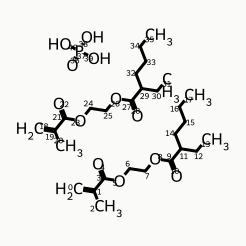 C=C(C)C(=O)OCCOC(=O)C(CC)CCCC.C=C(C)C(=O)OCCOC(=O)C(CC)CCCC.O=P(O)(O)O